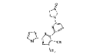 N#Cc1c(N)cc(-c2nccs2)nc1-c1cccc(N2CCC(=O)C2)n1